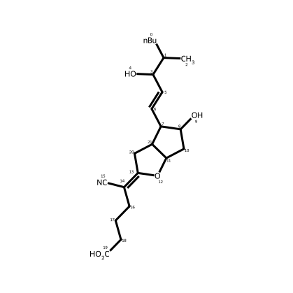 CCCCC(C)C(O)C=CC1C(O)CC2OC(=C(C#N)CCCC(=O)O)CC21